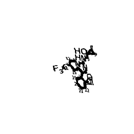 O=c1nc(NCC2(O)CC2)n2ccc(C(F)(F)F)cc2c1-c1ccccc1Cl